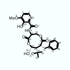 COc1ccnc(C(=O)NC2COC(=O)[C@H](Cc3ccccc3)[C@H](C(C)(C)C(=O)O)[C@H](C)OC2=O)c1O